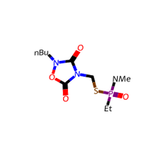 CCCCn1oc(=O)n(CSP(=O)(CC)NC)c1=O